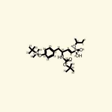 CCC(C)OP(=O)(O)C=CC(Cc1ccc(O[Si](C)(C)C(C)(C)C)cc1)NC(=O)OC(C)(C)C